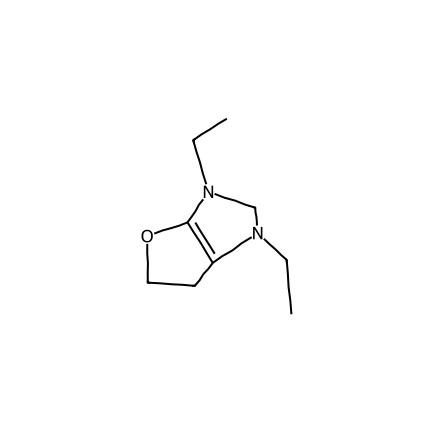 CCN1CN(CC)C2=C1CCO2